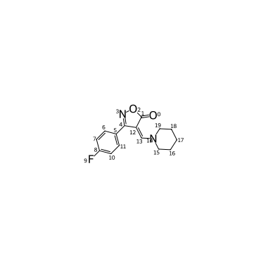 O=C1ON=C(c2ccc(F)cc2)/C1=C/N1CCCCC1